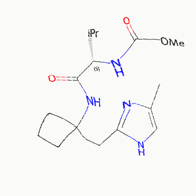 COC(=O)N[C@H](C(=O)NC1(Cc2nc(C)c[nH]2)CCC1)C(C)C